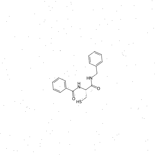 O=C(N[C@@H](CS)C(=O)NCc1ccccc1)c1ccccc1